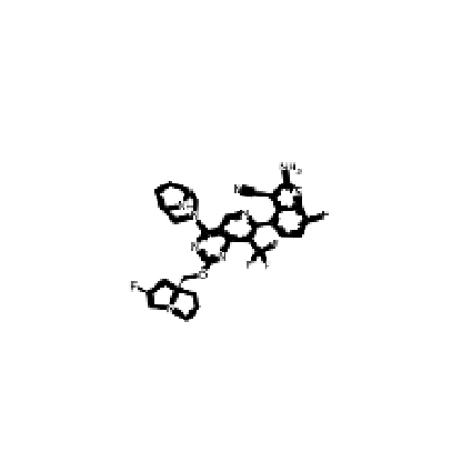 N#Cc1c(N)sc2c(F)ccc(-c3ncc4c(N5CC6CCC(C5)N6)nc(OC[C@]56CCCN5C[C@@H](F)C6)nc4c3C(F)(F)F)c12